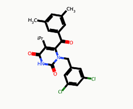 Cc1cc(C)cc(C(=O)c2c(C(C)C)c(=O)[nH]c(=O)n2Cc2cc(Cl)cc(Cl)c2)c1